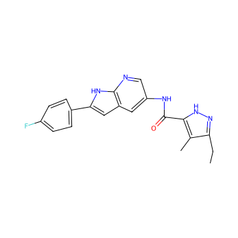 CCc1n[nH]c(C(=O)Nc2cnc3[nH]c(-c4ccc(F)cc4)cc3c2)c1C